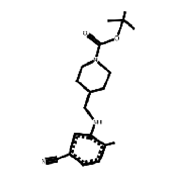 Cc1ccc(C#N)cc1NCC1CCN(C(=O)OC(C)(C)C)CC1